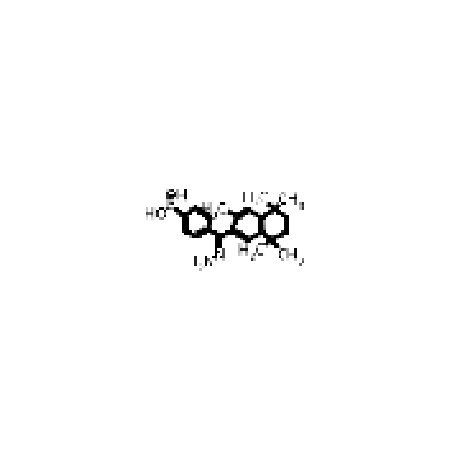 Cc1cc2c(cc1/C(=N/N)c1ccc(B(O)O)cc1)C(C)(C)CCC2(C)C